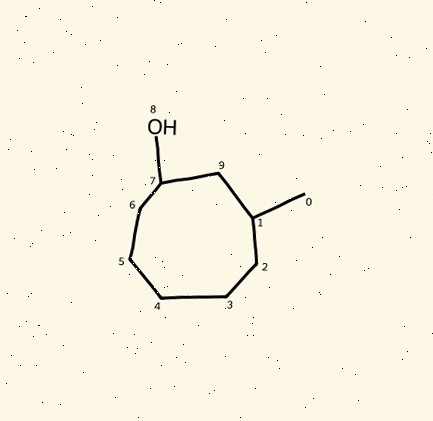 CC1CCCCCC(O)C1